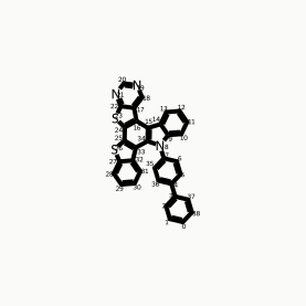 c1ccc(-c2ccc(-n3c4ccccc4c4c5c6cncnc6sc5c5sc6ccccc6c5c43)cc2)cc1